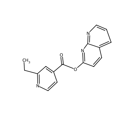 CCc1cc(C(=O)Oc2ccc3cccnc3n2)ccn1